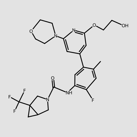 Cc1cc(F)c(NC(=O)N2CC3CC3(C(F)(F)F)C2)cc1-c1cc(OCCO)nc(N2CCOCC2)c1